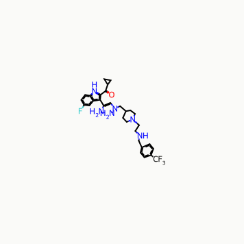 N/C(=C\N(N)CC1CCN(CCNCc2ccc(C(F)(F)F)cc2)CC1)c1c(C(=O)C2CC2)[nH]c2ccc(F)cc12